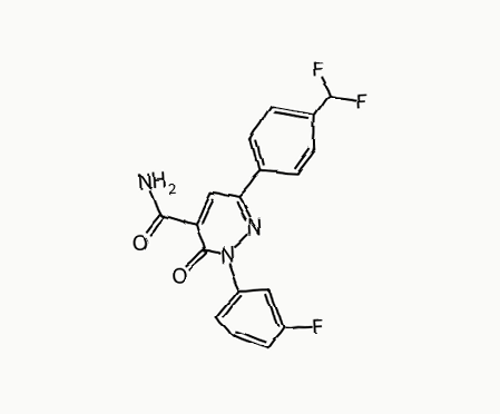 NC(=O)c1cc(-c2ccc(C(F)F)cc2)nn(-c2cccc(F)c2)c1=O